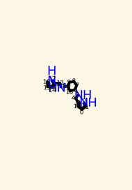 c1c[nH]c(CNC2CCCC(NCc3ccc[nH]3)C2)c1